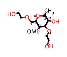 COC1C(COCCO)O[C@@H](C)C(O)C1OCCO